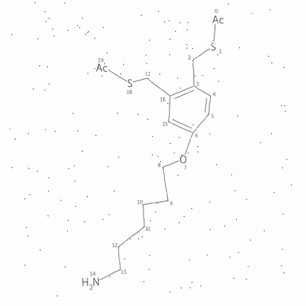 CC(=O)SCc1ccc(OCCCCCCN)cc1CSC(C)=O